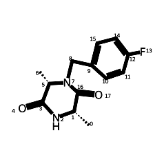 C[C@@H]1NC(=O)[C@H](C)N(Cc2ccc(F)cc2)C1=O